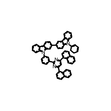 C1=CCCC(n2c3ccccc3c3cc(-c4ccc5c6ccccc6n(-c6cccc(-c7nc(-c8cccc9ccccc89)cc(-c8cccc9ccccc89)n7)c6)c5c4)ccc32)=C1